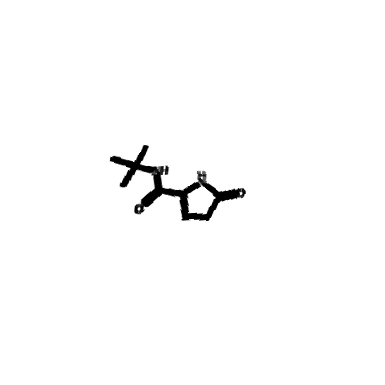 CC(C)(C)NC(=O)C1CCC(=O)N1